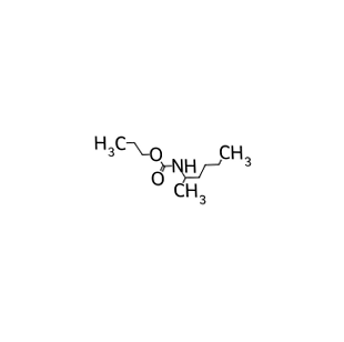 CCCCC(C)NC(=O)OCCC